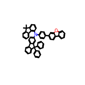 CC1(C)c2ccccc2-c2c(N(c3ccc(-c4ccc5c(c4)oc4ccccc45)cc3)c3ccc4c(c3)C(c3ccccc3)(c3ccccc3)c3ccccc3-4)cccc21